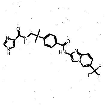 CC(C)(CNC(=O)c1c[nH]cn1)c1ccc(C(=O)Nc2cn3cc(C(F)(F)F)ccc3n2)cc1